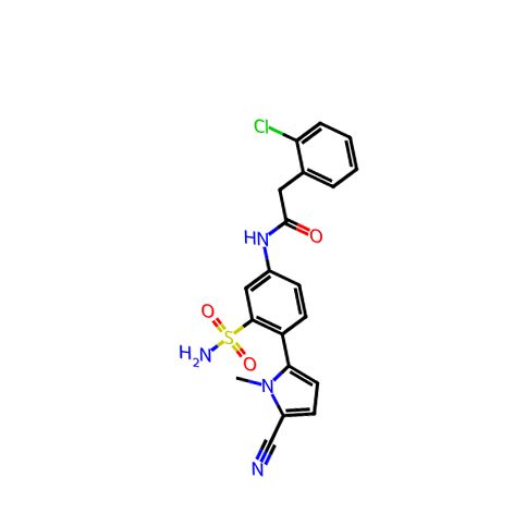 Cn1c(C#N)ccc1-c1ccc(NC(=O)Cc2ccccc2Cl)cc1S(N)(=O)=O